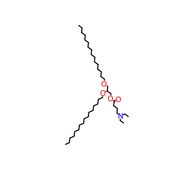 CCCCCCCCCCCCCCCCOCC(COC(=O)CCCN(CC)CC)OCCCCCCCCCCCCCCCC